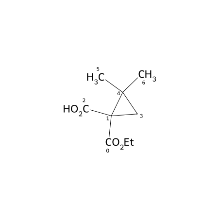 CCOC(=O)C1(C(=O)O)CC1(C)C